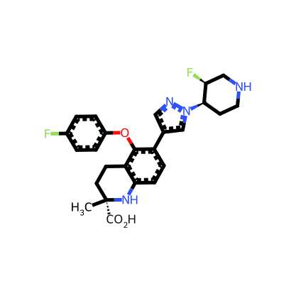 C[C@@]1(C(=O)O)CCc2c(ccc(-c3cnn([C@@H]4CCNC[C@@H]4F)c3)c2Oc2ccc(F)cc2)N1